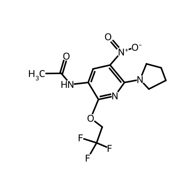 CC(=O)Nc1cc([N+](=O)[O-])c(N2CCCC2)nc1OCC(F)(F)F